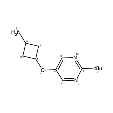 CC(C)(C)c1ncc(OC2CC(N)C2)cn1